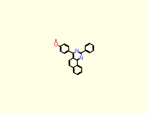 COc1ccc(-c2nc(-c3ccccc3)nc3c2ccc2ccccc23)cc1